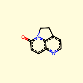 O=c1ccc2nccc3c2n1CC3